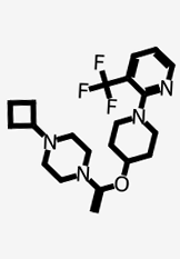 C=C(OC1CCN(c2ncccc2C(F)(F)F)CC1)N1CCN(C2CCC2)CC1